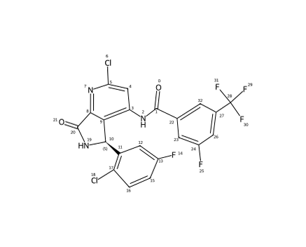 O=C(Nc1cc(Cl)nc2c1[C@@H](c1cc(F)ccc1Cl)NC2=O)c1cc(F)cc(C(F)(F)F)c1